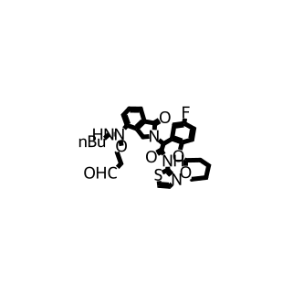 CCCCNN(OCCC=O)c1cccc2c1CN(C(C(=O)Nc1nccs1)c1cc(F)ccc1OC1CCCCO1)C2=O